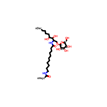 CCCCCCCCCCCCCCC(O)C(O)C(CO[C@H]1O[C@H](CO)[C@H](O)[C@H](O)[C@H]1O)NC(=O)CCCCCCCCCCNC(=O)CCCCCCC